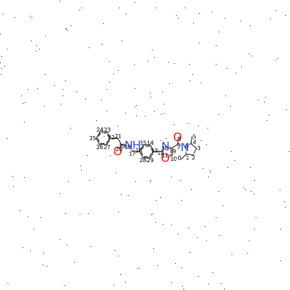 CC1CCC(C)N1C(=O)c1coc(-c2ccc(CNC(=O)Cc3ccccc3)cc2)n1